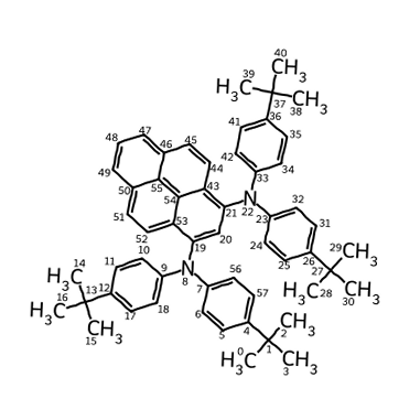 CC(C)(C)c1ccc(N(c2ccc(C(C)(C)C)cc2)c2cc(N(c3ccc(C(C)(C)C)cc3)c3ccc(C(C)(C)C)cc3)c3ccc4cccc5ccc2c3c54)cc1